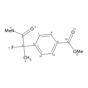 CNC(=O)C(C)(F)c1ccc(C(=O)OC)cc1